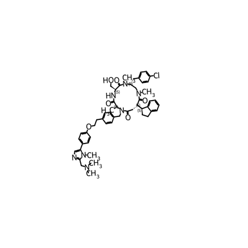 C[C@H]1C(=O)N[C@@H](CO)C(=O)N(C)[C@H](Cc2ccc(Cl)cc2)CN(C)C(=O)[C@H]([C@@H]2CCc3ccccc32)CC(=O)N1Cc1ccc(CCOc2ccc(-c3cnc(CN(C)C)n3C)cc2)cc1